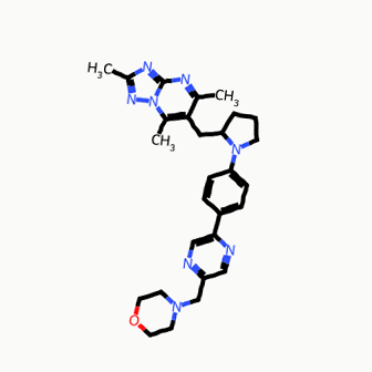 Cc1nc2nc(C)c(CC3CCCN3c3ccc(-c4cnc(CN5CCOCC5)cn4)cc3)c(C)n2n1